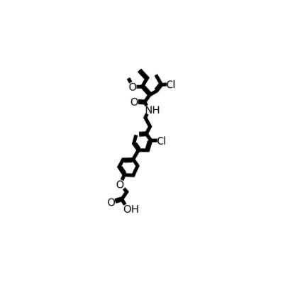 C=C/C(OC)=C(\C=C(/C)Cl)C(=O)NCCC(=C)/C(Cl)=C\C(=C/C)C1=CC=C(OCC(=O)O)CC1